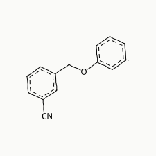 N#Cc1cccc(COc2c[c]ccc2)c1